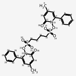 Cc1cc(-c2ccccc2)n(OS(=O)(=O)CCCCS(=O)(=O)On2c(-c3ccccc3)cc(C)cc2=O)c(=O)c1